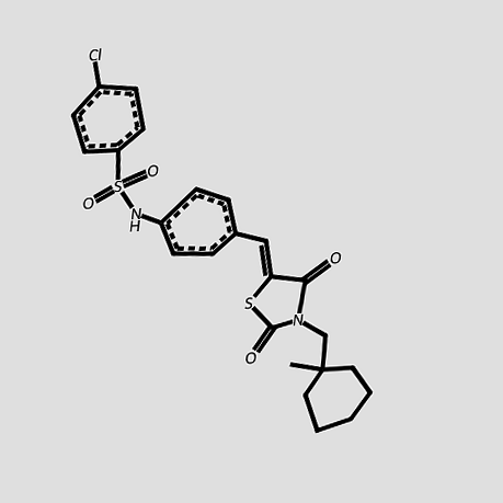 CC1(CN2C(=O)SC(=Cc3ccc(NS(=O)(=O)c4ccc(Cl)cc4)cc3)C2=O)CCCCC1